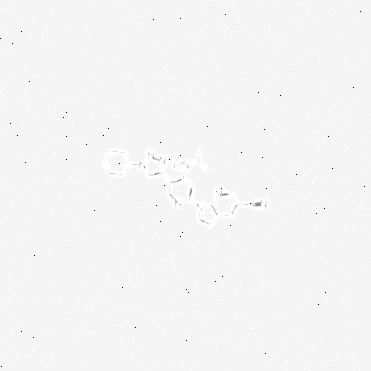 CC(C)Nc1cc(-n2ccc3cc(C#N)cnc32)ncc1-c1cn(C2CCCCC2)nn1